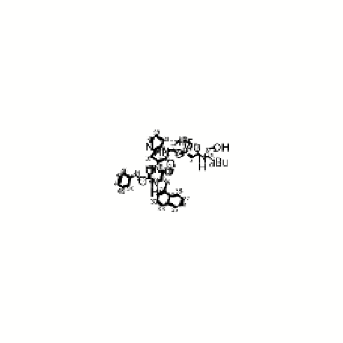 CC[C@H](C)[C@@H](CO)NC(=O)/C=[P+](\[O-])O[C@@H](CC(C)C)NC(=O)C(Cc1ccccn1)NC(=O)[C@H](Cc1cccc2ccccc12)NC(=O)OCc1ccccc1